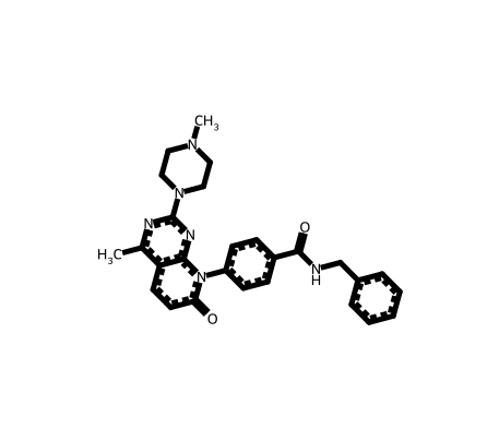 Cc1nc(N2CCN(C)CC2)nc2c1ccc(=O)n2-c1ccc(C(=O)NCc2ccccc2)cc1